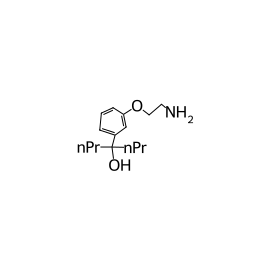 CCCC(O)(CCC)c1cccc(OCCN)c1